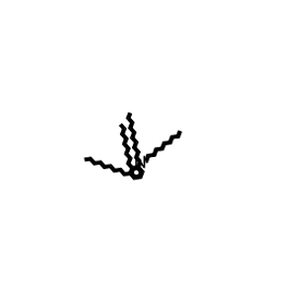 CCCCCCCCCCN(CCCCCCCCCC)c1cccc(CCCCCCCCC)c1CCCCCCCCC